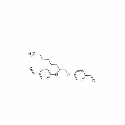 CCCCCCC(COc1ccc(C=O)cc1)Oc1ccc(C=O)cc1